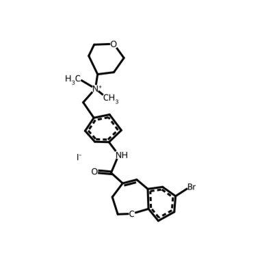 C[N+](C)(Cc1ccc(NC(=O)C2=Cc3cc(Br)ccc3CCC2)cc1)C1CCOCC1.[I-]